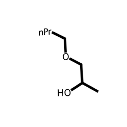 C[CH]CCOCC(C)O